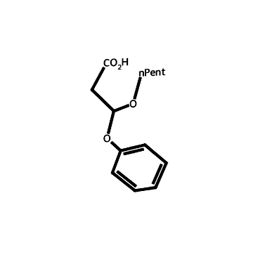 CCCCCOC(CC(=O)O)Oc1ccccc1